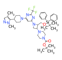 Cc1cnn(C)c1C1CCN(c2cc(N3CC(N4CCN(C(=O)OC(C)(C)C)CC4)C3CO[Si](c3ccccc3)(c3ccccc3)C(C)(C)C)nc(C(F)(F)F)n2)CC1